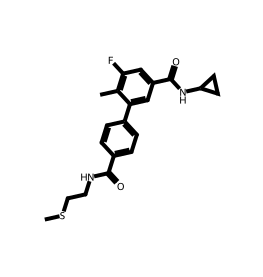 CSCCNC(=O)c1ccc(-c2cc(C(=O)NC3CC3)cc(F)c2C)cc1